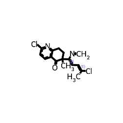 C=N/C(=C\C=C(/C)Cl)C1(C)CCc2nc(Cl)ccc2C1=O